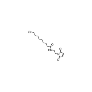 CC(C)CCCCCCCCC(=O)NCCN1C(=O)C=CC1=O